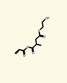 C=CC(=O)OC(=O)C(C)CC(=O)OCCO